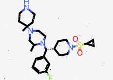 CC1CN(C2(C)CCNCC2)CCN1[C@@H](c1cccc(F)c1)C1CCN(S(=O)(=O)C2CC2)CC1